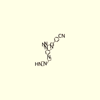 N#Cc1ccc(-c2cc3n(c2)Cc2cc(N4CCC(CN5CCNCC5)C4)ccc2-n2cnnc2-3)cc1